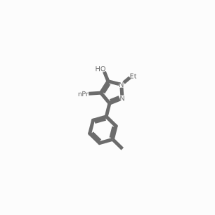 CCCc1c(-c2cccc(C)c2)nn(CC)c1O